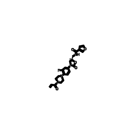 C=CC(=O)N1CCN(c2ccc(N3C[C@H](CNC(=O)c4ccoc4)OC3=O)cc2F)CC1